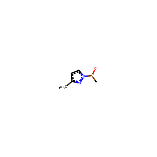 C[S+]([O-])n1ccc(C(=O)O)n1